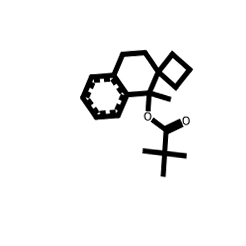 CC(C)(C)C(=O)OC1(C)c2ccccc2CCC12CCC2